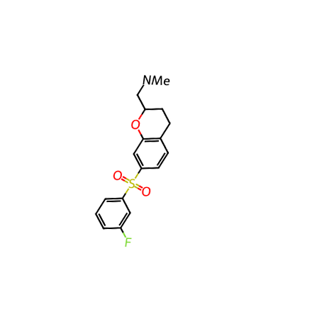 CNCC1CCc2ccc(S(=O)(=O)c3cccc(F)c3)cc2O1